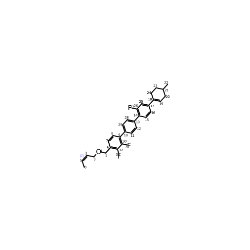 C/C=C\COCc1ccc(-c2ccc(-c3ccc(C4=CCC(C)CC4)cc3F)cc2)c(F)c1F